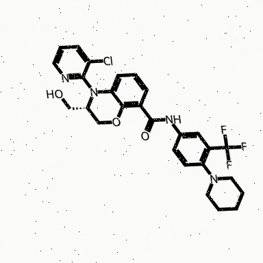 O=C(Nc1ccc(N2CCCCC2)c(C(F)(F)F)c1)c1cccc2c1OC[C@H](CO)N2c1ncccc1Cl